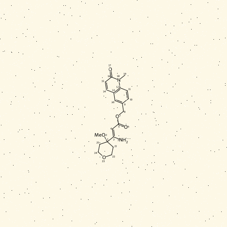 COC1(C(N)=CC(=O)OCc2ccc3c(ccc(=O)n3C)c2)CCOCC1